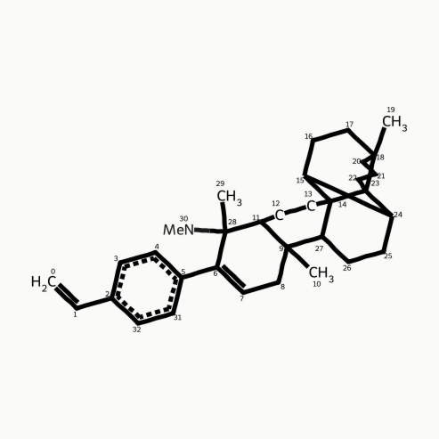 C=Cc1ccc(C2=CCC3(C)C(CCC45C6CCC7(C)CCCC74C6CCC35)C2(C)NC)cc1